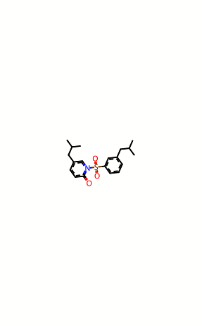 CC(C)Cc1cccc(S(=O)(=O)n2cc(CC(C)C)ccc2=O)c1